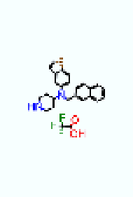 O=C(O)C(F)(F)F.c1ccc2cc(CN(c3ccc4sccc4c3)C3CCNCC3)ccc2c1